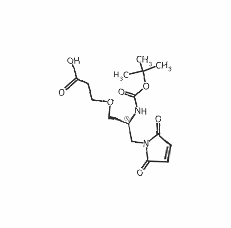 CC(C)(C)OC(=O)N[C@H](COCCC(=O)O)CN1C(=O)C=CC1=O